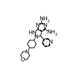 Nc1nc(N)c2c(n1)NN(C1CCC(N3CCOCC3)CC1)C2c1cccnc1